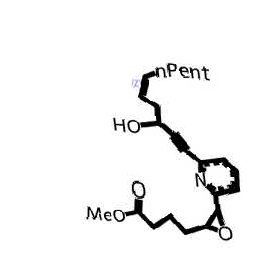 CCCCC/C=C\CC(O)C#Cc1cccc(C2OC2CCCC(=O)OC)n1